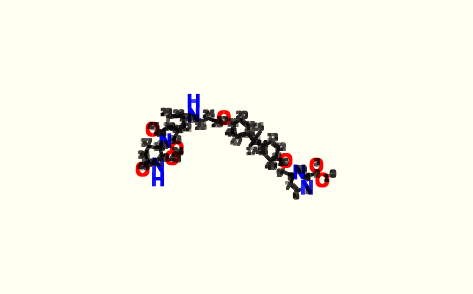 COC(=O)c1nccc(COc2ccc(C(C)(C)c3ccc(OCCCNc4ccc5c(c4)C(=O)N(C4CCC(=O)NC4=O)C5=O)cc3)cc2)n1